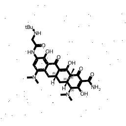 CN(C)c1cc(NC(=O)CNC(C)(C)C)c(O)c2c1C[C@H]1C[C@H]3[C@H](N(C)C)C(O)=C(C(N)=O)C(=O)[C@@]3(C)C(O)=C1C2=O